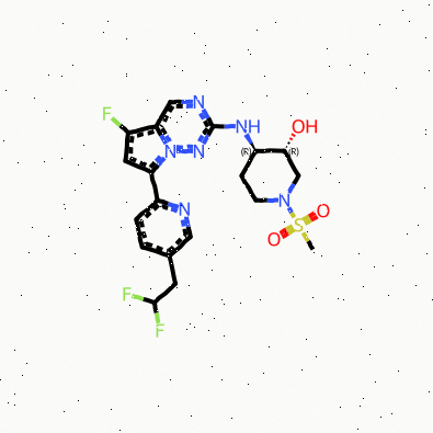 CS(=O)(=O)N1CC[C@@H](Nc2ncc3c(F)cc(-c4ccc(CC(F)F)cn4)n3n2)[C@H](O)C1